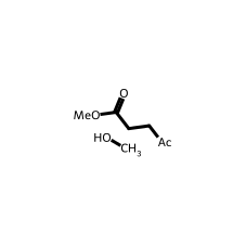 CO.COC(=O)CCC(C)=O